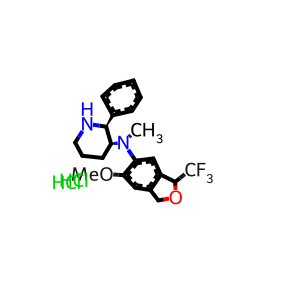 COc1cc2c(cc1N(C)[C@H]1CCCN[C@H]1c1ccccc1)C(C(F)(F)F)OC2.Cl.Cl